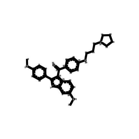 COc1ccc(-c2sc3cc(OC)ccc3c2C(=O)c2ccc(OCCCN3CCCC3)cc2)cc1